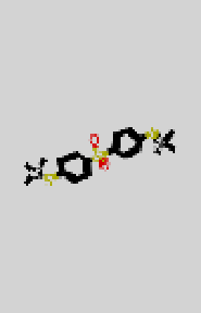 C[Si](C)(C)Sc1ccc(S(=O)(=O)c2ccc(S[Si](C)(C)C)cc2)cc1